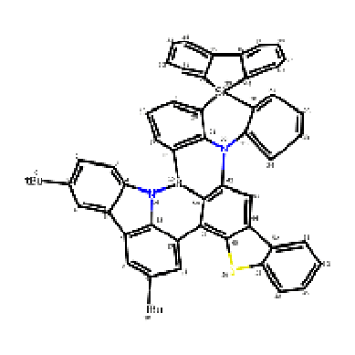 CC(C)(C)c1ccc2c(c1)c1cc(C(C)(C)C)cc3c1n2B1c2cccc4c2N(c2ccccc2[Si]42c4ccccc4-c4ccccc42)c2cc4c(sc5ccccc54)c-3c21